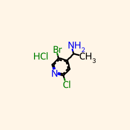 CC(N)c1cc(Cl)ncc1Br.Cl